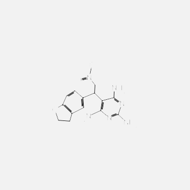 Nc1nc(N)c(C(C[N+](=O)[O-])c2ccc3c(c2)CCO3)c(N)n1